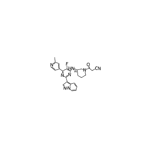 Cc1cc(-c2nc(-c3cnn4ccccc34)nc(N[C@@H]3CCCN(C(=O)CC#N)C3)c2F)ccn1